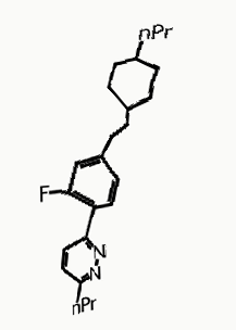 CCCc1ccc(-c2ccc(CCC3CCC(CCC)CC3)cc2F)nn1